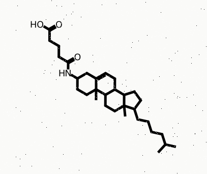 CC(C)CCCCC1CCC2C3CC=C4CC(NC(=O)CCCC(=O)O)CCC4(C)C3CCC12C